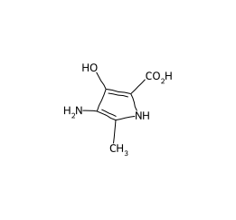 Cc1[nH]c(C(=O)O)c(O)c1N